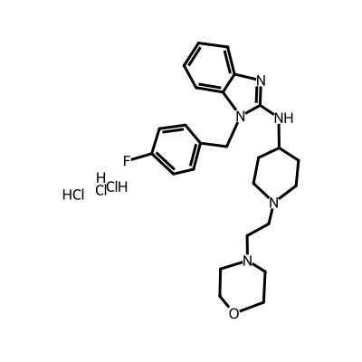 Cl.Cl.Cl.Fc1ccc(Cn2c(NC3CCN(CCN4CCOCC4)CC3)nc3ccccc32)cc1